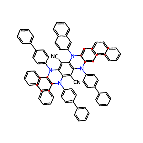 N#Cc1c(N(c2ccc(-c3ccccc3)cc2)c2ccc3ccccc3c2)c(N(c2ccc(-c3ccccc3)cc2)c2ccc3ccccc3c2)c(C#N)c(N(c2ccc(-c3ccccc3)cc2)c2ccc3ccccc3c2)c1N(c1ccc(-c2ccccc2)cc1)c1ccc2ccccc2c1